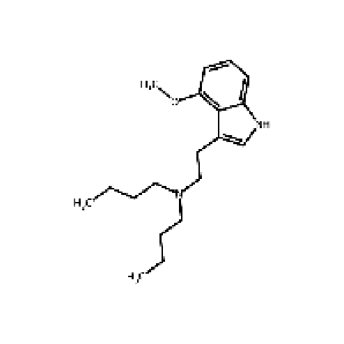 CCCCN(CCCC)CCc1c[nH]c2cccc(OC)c12